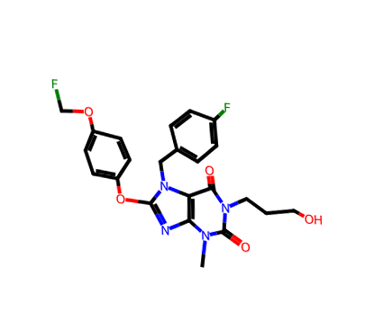 Cn1c(=O)n(CCCO)c(=O)c2c1nc(Oc1ccc(OCF)cc1)n2Cc1ccc(F)cc1